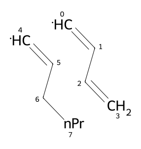 [CH]=CC=C.[CH]=CCCCC